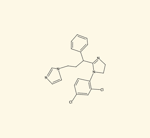 Clc1ccc(N2CCN=C2C(CCn2ccnc2)c2ccccc2)c(Cl)c1